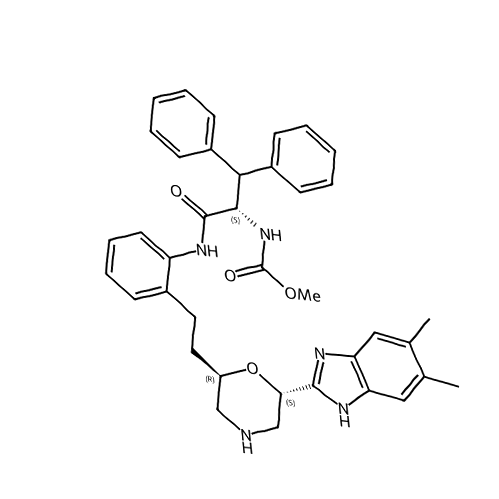 COC(=O)N[C@H](C(=O)Nc1ccccc1CC[C@@H]1CNC[C@@H](c2nc3cc(C)c(C)cc3[nH]2)O1)C(c1ccccc1)c1ccccc1